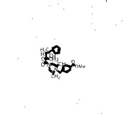 COC(=O)c1ccc(CN2C(C)CN(C(=O)C(C)(C)CC(C)(C)c3ccccc3)CC2C)cc1